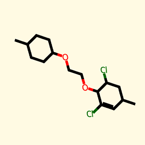 CC1C=C(Cl)C(OCCOC2CCC(C)CC2)C(Cl)C1